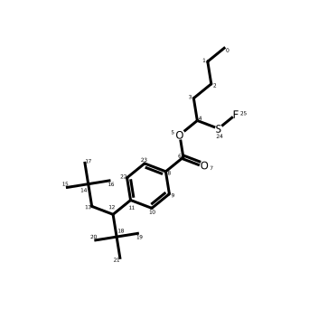 CCCCC(OC(=O)c1ccc(C(CC(C)(C)C)C(C)(C)C)cc1)SF